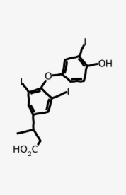 CC(CC(=O)O)c1cc(I)c(Oc2ccc(O)c(I)c2)c(I)c1